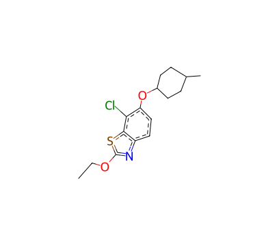 CCOc1nc2ccc(OC3CCC(C)CC3)c(Cl)c2s1